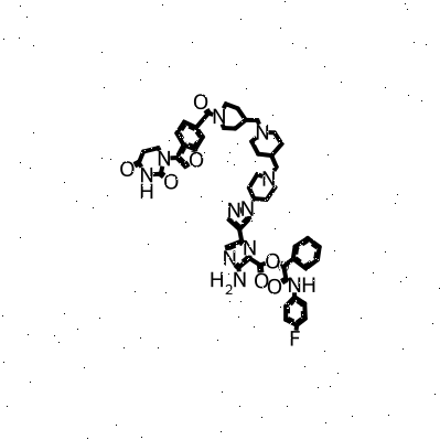 Nc1ncc(-c2cnn(C3CCN(CC4CCN(CC5CCN(C(=O)c6ccc7c(N8CCC(=O)NC8=O)coc7c6)CC5)CC4)CC3)c2)nc1C(=O)O[C@@H](C(=O)Nc1ccc(F)cc1)c1ccccc1